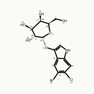 OC[C@H]1O[C@H](Oc2c[nH]c3cc(Cl)c(Br)cc23)[C@H](O)[C@@H](O)[C@H]1O